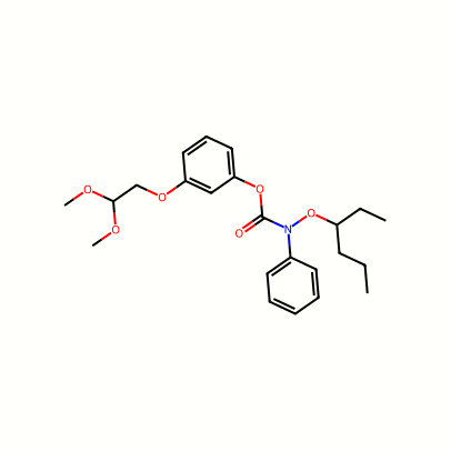 CCCC(CC)ON(C(=O)Oc1cccc(OCC(OC)OC)c1)c1ccccc1